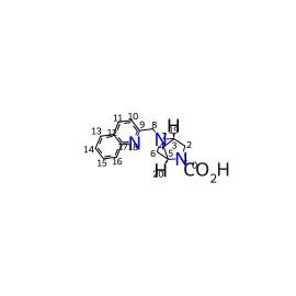 O=C(O)N1C[C@@H]2C[C@H]1CN2Cc1ccc2ccccc2n1